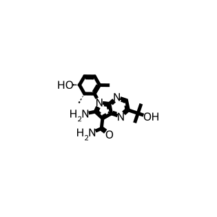 CC1=C(n2c(N)c(C(N)=O)c3nc(C(C)(C)O)cnc32)[C@H](C)[C@H](O)C=C1